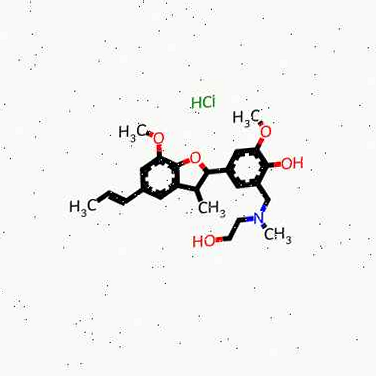 C/C=C/c1cc(OC)c2c(c1)C(C)C(c1cc(CN(C)CCO)c(O)c(OC)c1)O2.Cl